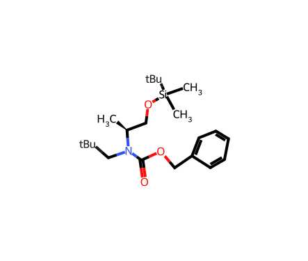 C[C@@H](CO[Si](C)(C)C(C)(C)C)N(CC(C)(C)C)C(=O)OCc1ccccc1